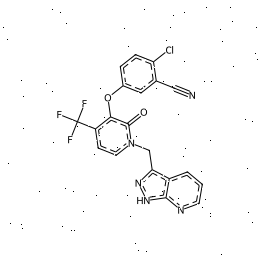 N#Cc1cc(Oc2c(C(F)(F)F)ccn(Cc3n[nH]c4ncccc34)c2=O)ccc1Cl